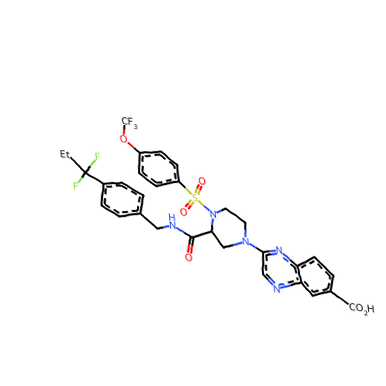 CCC(F)(F)c1ccc(CNC(=O)C2CN(c3cnc4cc(C(=O)O)ccc4n3)CCN2S(=O)(=O)c2ccc(OC(F)(F)F)cc2)cc1